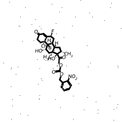 C[C@H]1C[C@H]2[C@@H]3C[C@H](F)C4=CC(=O)CC[C@]4(C)C3(F)[C@@H](O)C[C@]2(C)[C@@]1(O)C(=O)COC(=O)OCc1ccccc1[N+](=O)[O-]